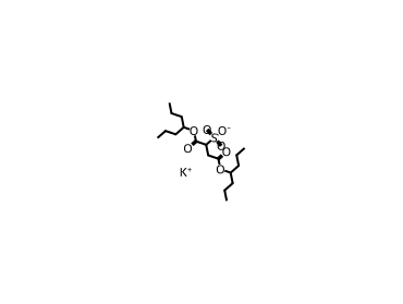 CCCC(CCC)OC(=O)CC(C(=O)OC(CCC)CCC)S(=O)(=O)[O-].[K+]